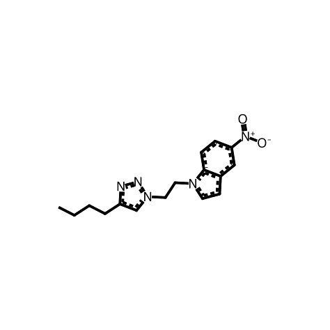 CCCCc1cn(CCn2ccc3cc([N+](=O)[O-])ccc32)nn1